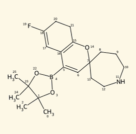 CC1(C)OB(C2=CC3(CCCNCC3)OC3=C2C=C(F)CC3)OC1(C)C